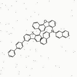 c1ccc(-c2ccc(-c3ccc4sc5c(-c6cc7c(oc8cccc(N(c9ccc%10ccccc%10c9)c9ccc%10ccccc%10c9)c87)c7ccccc67)cccc5c4c3)cc2)cc1